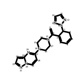 C=C(C1=CC=CCC1n1nccn1)N1CCN(c2ccn3nccc3n2)CC1